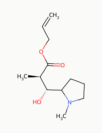 C=CCOC(=O)[C@H](C)[C@@H](O)C1CCCN1C